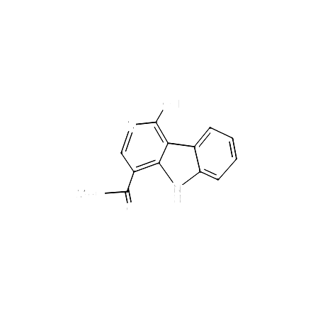 COC(=O)c1cnc(O)c2c1[nH]c1ccccc12